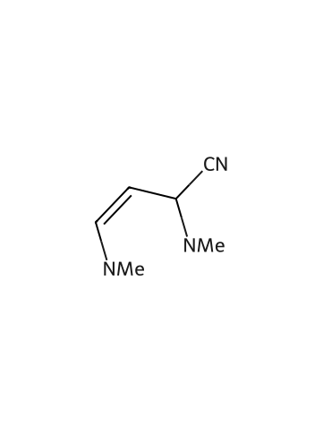 CN/C=C\C(C#N)NC